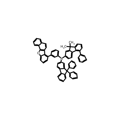 CC1(C)c2cc(N(c3cccc(-c4cccc5oc6c7ccccc7ccc6c45)c3)c3ccc4c(c3)C(c3ccccc3)(c3ccccc3)c3ccccc3-4)ccc2-c2c(-c3ccccc3)cccc21